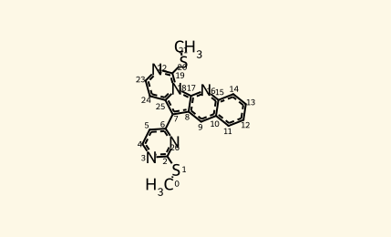 CSc1nccc(-c2c3cc4ccccc4nc3n3c(SC)nccc23)n1